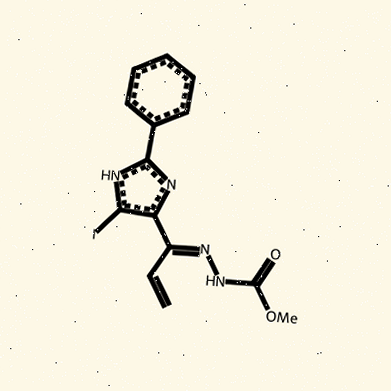 C=CC(=NNC(=O)OC)c1nc(-c2ccccc2)[nH]c1I